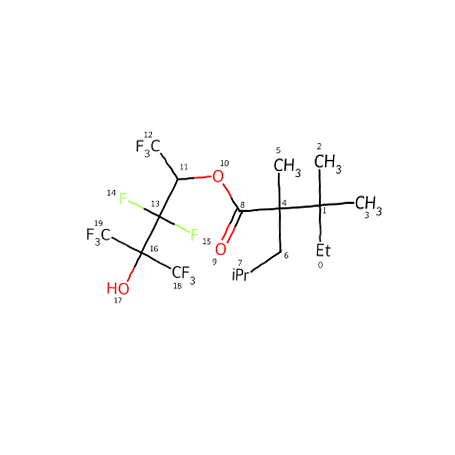 CCC(C)(C)C(C)(CC(C)C)C(=O)OC(C(F)(F)F)C(F)(F)C(O)(C(F)(F)F)C(F)(F)F